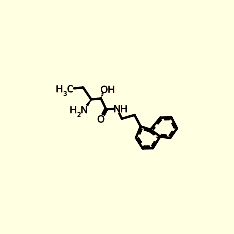 CC[C@H](N)[C@H](O)C(=O)NCCc1cccc2ccccc12